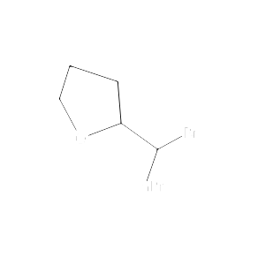 CCCC(Br)C1CCCO1